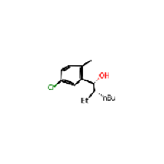 CCCC[C@H](CC)[C@@H](O)c1cc(Cl)ccc1C